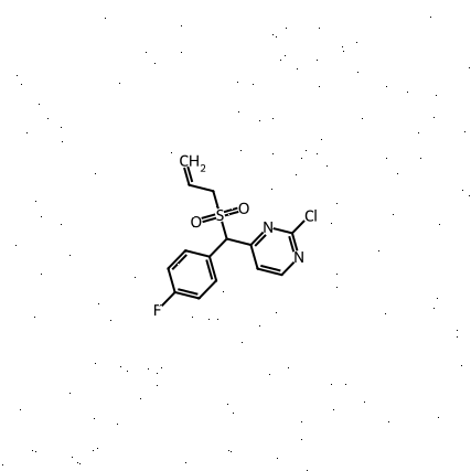 C=CCS(=O)(=O)C(c1ccc(F)cc1)c1ccnc(Cl)n1